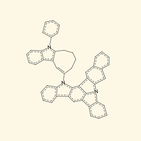 C1=C(/n2c3ccccc3c3cc4c5ccccc5n5c6cc7ccccc7cc6c(c32)c45)CCCCc2c/1c1ccccc1n2-c1ccccc1